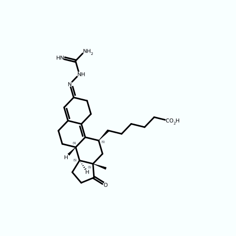 C[C@]12C[C@H](CCCCCC(=O)O)C3=C4CCC(=NNC(=N)N)C=C4CC[C@H]3[C@@H]1CCC2=O